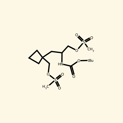 CC(C)(C)OC(=O)NC(COS(C)(=O)=O)CC1(COS(C)(=O)=O)CCC1